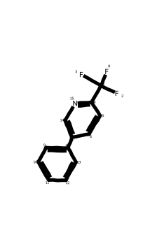 FC(F)(F)c1ccc(-c2ccccc2)cn1